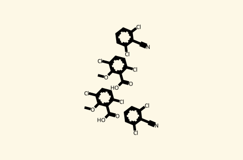 COc1c(Cl)ccc(Cl)c1C(=O)O.COc1c(Cl)ccc(Cl)c1C(=O)O.N#Cc1c(Cl)cccc1Cl.N#Cc1c(Cl)cccc1Cl